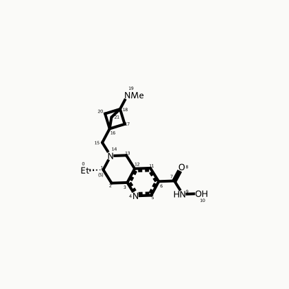 CC[C@H]1Cc2ncc(C(=O)NO)cc2CN1CC12CC(NC)(C1)C2